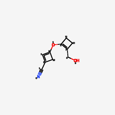 N#CC1=C=C(OC2=C(CO)CC2)C1